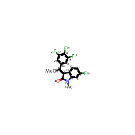 COC(=C1C(=O)N(C(C)=O)c2cc(F)ccc21)c1cc(F)c(F)c(F)c1